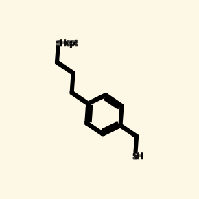 CCCCCCCCCCc1ccc(CS)cc1